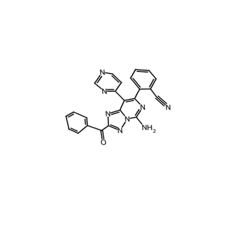 N#Cc1ccccc1-c1nc(N)n2nc(C(=O)c3ccccc3)nc2c1-c1ccncn1